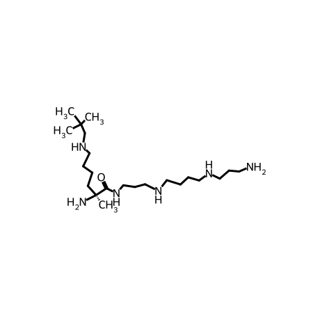 CC(C)(C)CNCCCC[C@](C)(N)C(=O)NCCCNCCCCNCCCN